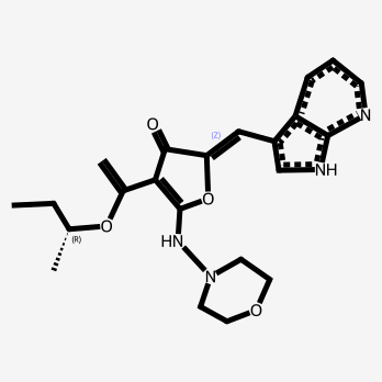 C=C(O[C@H](C)CC)C1=C(NN2CCOCC2)O/C(=C\c2c[nH]c3ncccc23)C1=O